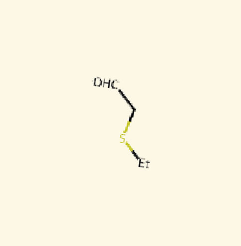 CCSC[C]=O